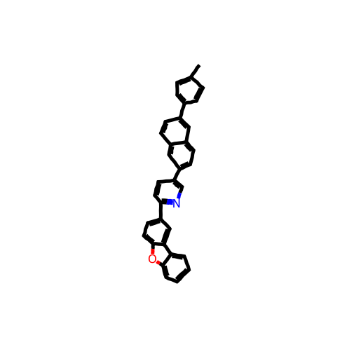 Cc1ccc(-c2ccc3cc(-c4ccc(-c5ccc6oc7ccccc7c6c5)nc4)ccc3c2)cc1